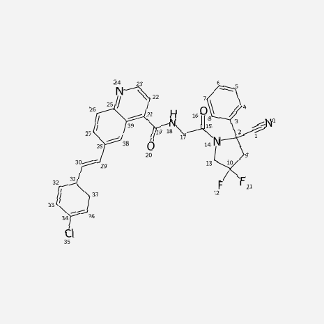 N#CC1(c2ccccc2)CC(F)(F)CN1C(=O)CNC(=O)c1ccnc2ccc(C=CC3C=CC(Cl)=CC3)cc12